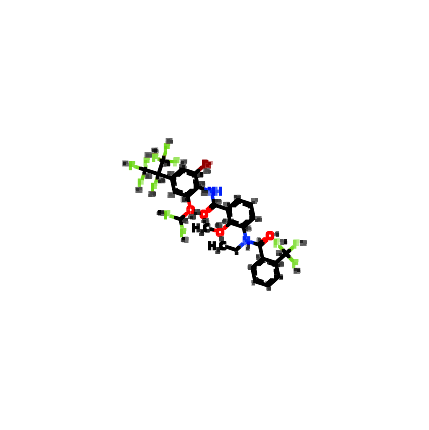 CCN(C(=O)c1ccccc1C(F)(F)F)c1cccc(C(=O)Nc2c(Br)cc(C(F)(C(F)(F)F)C(F)(F)F)cc2OC(F)F)c1OC